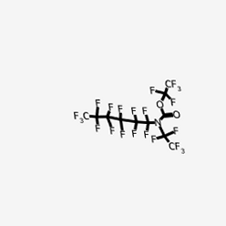 O=C(OC(F)(F)C(F)(F)F)N(C(F)(F)C(F)(F)F)C(F)(F)C(F)(F)C(F)(F)C(F)(F)C(F)(F)C(F)(F)F